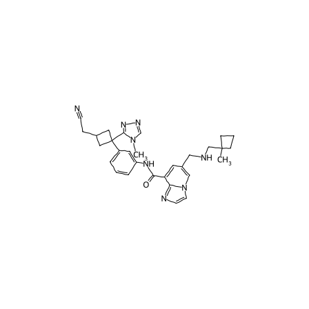 Cn1cnnc1C1(c2cccc(NC(=O)c3cc(CNCC4(C)CCC4)cn4ccnc34)c2)CC(CC#N)C1